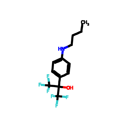 CCCCNc1ccc(C(O)(C(F)(F)F)C(F)(F)F)cc1